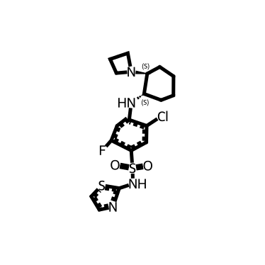 O=S(=O)(Nc1nccs1)c1cc(Cl)c(N[C@H]2CCCC[C@@H]2N2CCC2)cc1F